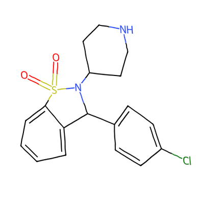 O=S1(=O)c2ccccc2C(c2ccc(Cl)cc2)N1C1CCNCC1